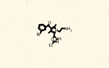 CCC1=NNC(c2c(C)c(C(=O)c3cccc(Br)c3)c(C)n2CCN)O1